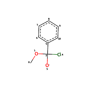 COC([O])(Cl)c1ccccc1